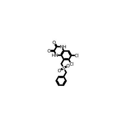 O=c1[nH]c2cc(Cl)c(Cl)c(CS(=O)(=O)Cc3ccccc3)c2[nH]c1=O